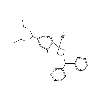 CCOC(OCC)c1ccc(C2(C#N)CN(C(c3ccccc3)c3ccccc3)C2)c(Br)c1